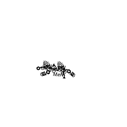 CN[C@@H](CC1CC1)C(=O)O[C@H](Cc1ccc(N2CCOCC2)cc1)C(=O)N(C)[C@@H](CC(C)C)C(=O)O[C@H](C)C(=O)N(C)[C@@H](CC1CC1)C(=O)O[C@H](Cc1ccc(N2CCOCC2)cc1)C(=O)N(C)[C@@H](CC(C)C)C(=O)O[C@H](C)C(=O)OCc1ccccc1